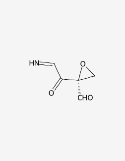 N=CC(=O)[C@]1(C=O)CO1